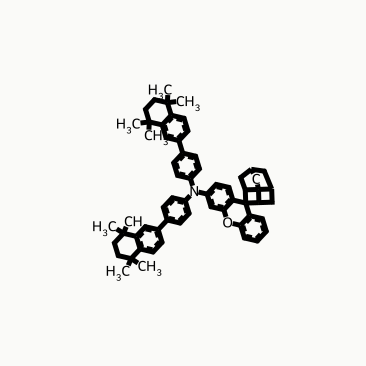 CC1(C)CCC(C)(C)c2cc(-c3ccc(N(c4ccc(-c5ccc6c(c5)C(C)(C)CCC6(C)C)cc4)c4ccc5c(c4)Oc4ccccc4C54C5CC6CC7CC4C75C6)cc3)ccc21